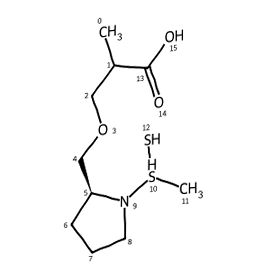 CC(COC[C@@H]1CCCN1[SH](C)S)C(=O)O